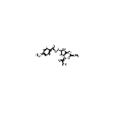 CC(=O)OC1O[C@H](COC(=O)c2ccc(C)cc2)C[C@H]1OC(C)=O